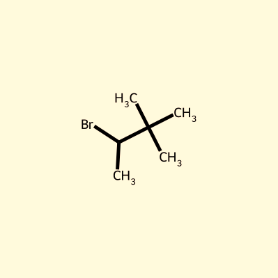 CC(Br)C(C)(C)C